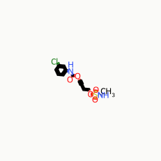 CNS(=O)(=O)OCCC#COC(=O)Nc1cccc(Cl)c1